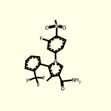 Cc1c(C(N)=O)cn(-c2ccc(S(C)(=O)=O)c(F)c2)c1-c1ccccc1C(F)(F)F